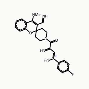 CNC1=C(C=N)C2(CCN(C(=O)C(=N)/C=C(\O)c3ccc(F)cc3)CC2)Oc2ccccc21